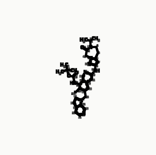 CC(C)N1CCc2cc(Nc3cc4cc(Cn5ccc6ccncc65)c(F)c(NC(=O)OC(C)(C)C)c4cn3)nn2CC1=O